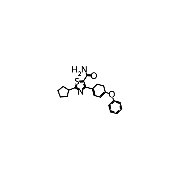 NC(=O)c1sc(C2CCCC2)nc1C1=CC=C(Oc2ccccc2)CC1